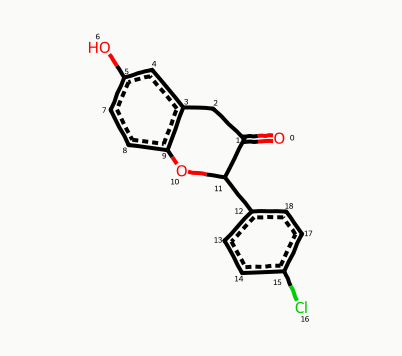 O=C1Cc2cc(O)ccc2OC1c1ccc(Cl)cc1